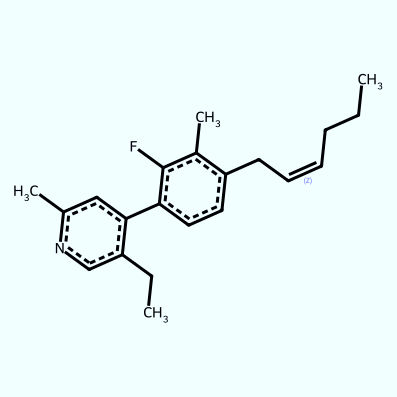 CCC/C=C\Cc1ccc(-c2cc(C)ncc2CC)c(F)c1C